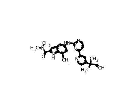 C#CC(C)(C)c1ccnc(-c2ccnc(Nc3cc(C)c4[nH]c(C(=O)N(C)C)cc4c3)n2)c1